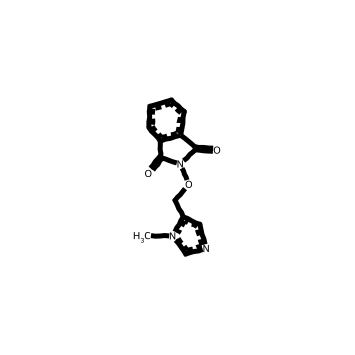 Cn1cncc1CON1C(=O)c2ccccc2C1=O